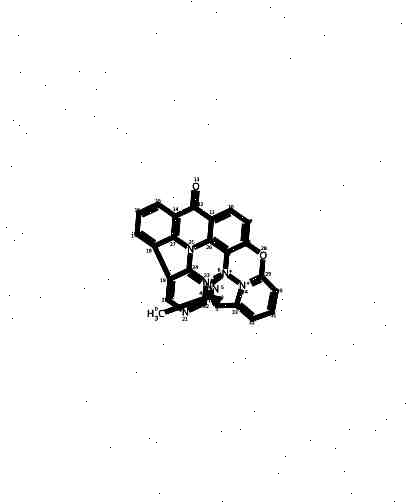 Cc1cc2n(n1)[N+]13c4c(ccc5c(=O)c6cccc7c8cnc[n+]1c8n(c45)c67)Oc1cccc-2[n+]13